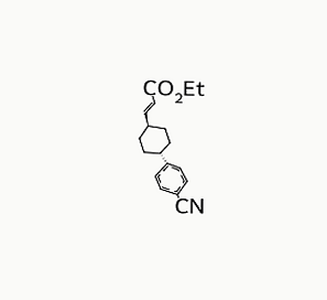 CCOC(=O)/C=C/[C@H]1CC[C@H](c2ccc(C#N)cc2)CC1